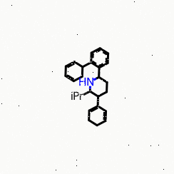 CC(C)C1NC(c2ccccc2C2C=CC=CC2)CCC1C1=CCCC=C1